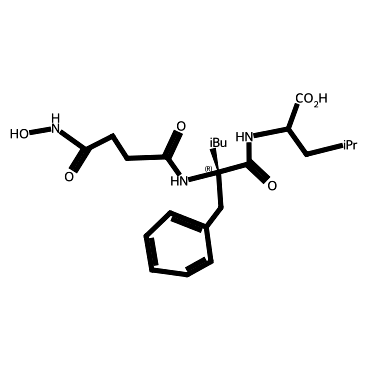 CCC(C)[C@@](Cc1ccccc1)(NC(=O)CCC(=O)NO)C(=O)NC(CC(C)C)C(=O)O